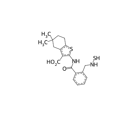 CC1(C)CCc2sc(NC(=O)c3ccccc3CNS)c(C(=O)O)c2C1